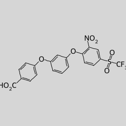 O=C(O)c1ccc(Oc2cccc(Oc3ccc(S(=O)(=O)C(F)(F)F)cc3[N+](=O)[O-])c2)cc1